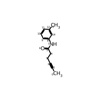 CC#CCCC(=O)Nc1cccc(C)c1